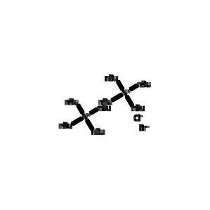 CCCC[N+](CCCC)(CCCC)CCCC.CCCC[N+](CCCC)(CCCC)CCCC.[Br-].[Cl-]